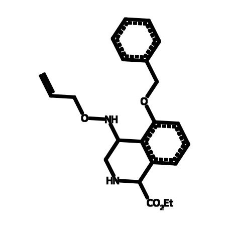 C=CCONC1CNC(C(=O)OCC)c2cccc(OCc3ccccc3)c21